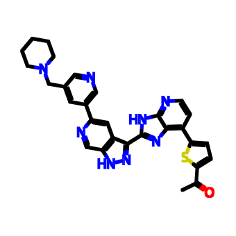 CC(=O)c1ccc(-c2ccnc3[nH]c(-c4n[nH]c5cnc(-c6cncc(CN7CCCCC7)c6)cc45)nc23)s1